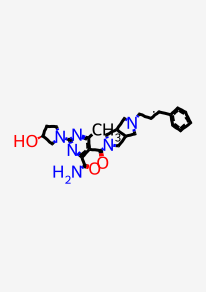 Cc1nc(N2CC[C@H](O)C2)nc(C(N)=O)c1C(=O)N1CC2CN(CC[CH]c3ccccc3)CC2C1